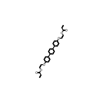 C=CC(=O)O/C=C\Oc1ccc(-c2ccc(-c3ccc(O/C=C\OC(=O)C=C)cc3)cc2)cc1